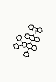 c1ccc(-c2cc3c(-c4ccccc4)c4ccccc4c(-c4c5ccccc5c(-n5c6ccccc6c6ccccc65)c5ccccc45)c3cc2-c2ccccc2)cc1